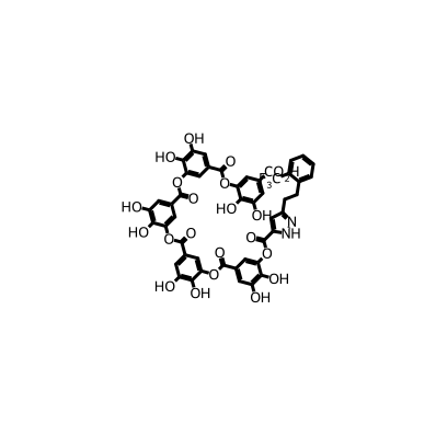 O=C(O)c1cc(O)c(O)c(OC(=O)c2cc(O)c(O)c(OC(=O)c3cc(O)c(O)c(OC(=O)c4cc(O)c(O)c(OC(=O)c5cc(O)c(O)c(OC(=O)c6cc(CCc7ccccc7C(F)(F)F)n[nH]6)c5)c4)c3)c2)c1